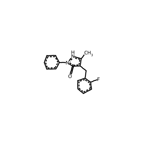 Cc1[nH]n(-c2ccccc2)c(=O)c1Cc1ccccc1F